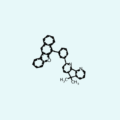 CC1(C)c2cccnc2-c2nc(-c3cccc(-c4c5ccccc5cc5c4oc4ccccc45)c3)ccc21